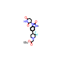 Cn1c(=O)n(C2CCC(=O)NC2=O)c2ccc(C3CCN(CC(=O)OC(C)(C)C)CC3(F)F)cc21